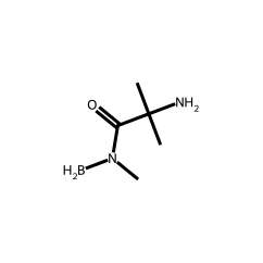 BN(C)C(=O)C(C)(C)N